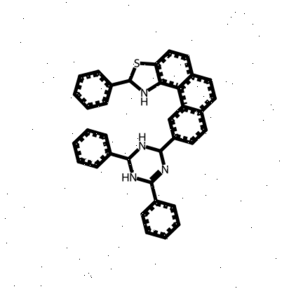 c1ccc(C2=NC(c3ccc4ccc5ccc6c(c5c4c3)NC(c3ccccc3)S6)NC(c3ccccc3)N2)cc1